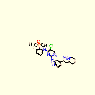 CP(C)(=O)c1ccccc1Nc1nc(Nc2cccc(CCC3CCCCN3)c2)ncc1Cl